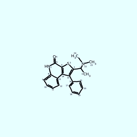 CC(c1sc2c(=O)[nH]c3ccccc3c2c1-c1ccccc1)N(C)C